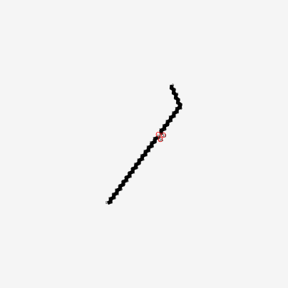 CCCCCCCC/C=C\CCCCCCCCCCCC(=O)OC(=O)CCCCCCCCCCCCCCCCCCCCCCCCCCCCCCC